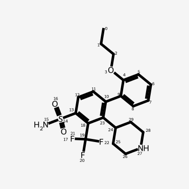 CCCOc1ccccc1-c1ccc(S(N)(=O)=O)c(C(F)(F)F)c1C1CCNCC1